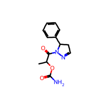 CC(OC(N)=O)C(=O)N1N=CCC1c1ccccc1